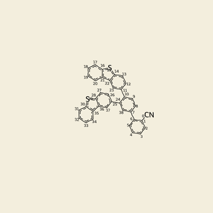 N#Cc1ccccc1-c1ccc(-c2ccc3sc4ccccc4c3c2)c(-c2ccc3sc4ccccc4c3c2)c1